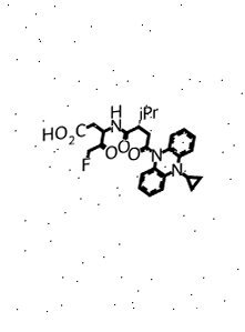 CC(C)[C@H](CC(=O)N1c2ccccc2N(C2CC2)c2ccccc21)C(=O)NC(CC(=O)O)C(=O)CF